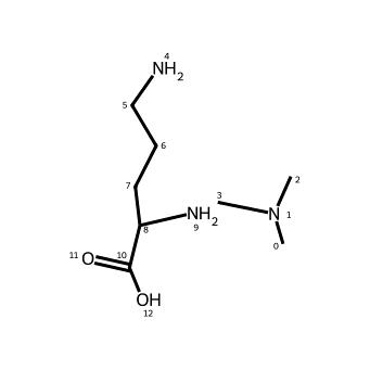 CN(C)C.NCCCC(N)C(=O)O